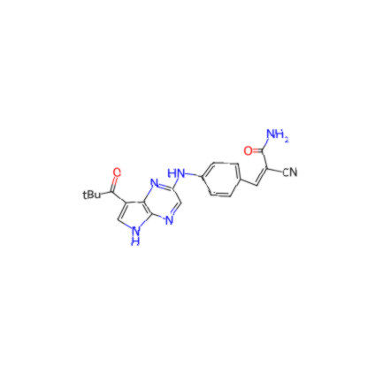 CC(C)(C)C(=O)c1c[nH]c2ncc(Nc3ccc(/C=C(/C#N)C(N)=O)cc3)nc12